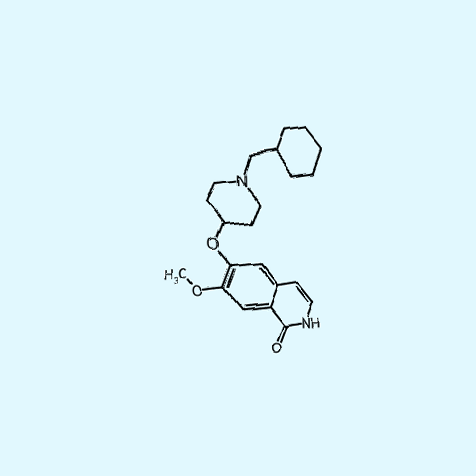 COc1cc2c(=O)[nH]ccc2cc1OC1CCN(CC2CCCCC2)CC1